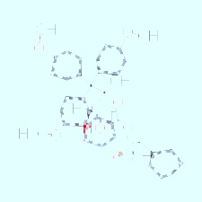 COc1ccc(C(c2ccc(OC)cc2)(c2ccc(OC)cc2)C(C)(C)OB(O)OS(C)(=O)(Cc2ccccc2)c2ccccc2)cc1